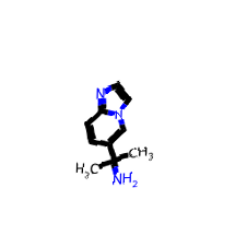 CC(C)(N)c1ccc2nccn2c1